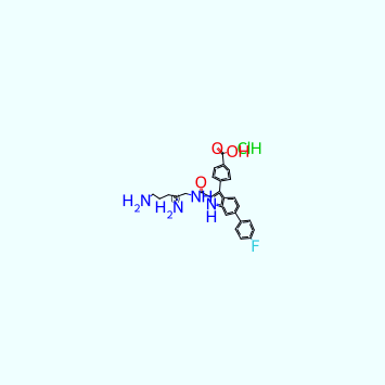 Cl.NCCC[C@H](N)CNC(=O)c1[nH]c2cc(-c3ccc(F)cc3)ccc2c1-c1ccc(C(=O)O)cc1